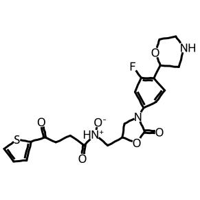 O=C(CCC(=O)[NH+]([O-])CC1CN(c2ccc(C3CNCCO3)c(F)c2)C(=O)O1)c1cccs1